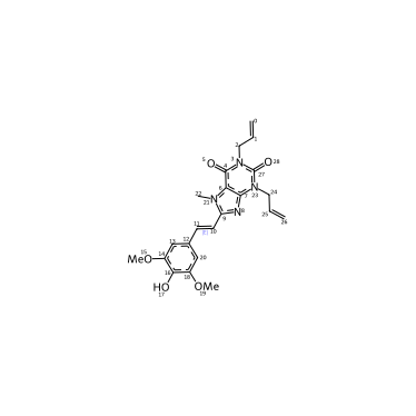 C=CCn1c(=O)c2c(nc(/C=C/c3cc(OC)c(O)c(OC)c3)n2C)n(CC=C)c1=O